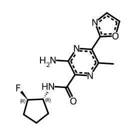 Cc1nc(C(=O)N[C@@H]2CCC[C@H]2F)c(N)nc1-c1ncco1